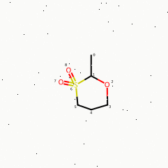 CC1OCCCS1(=O)=O